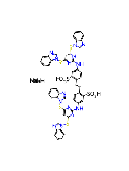 O=S(=O)(O)c1cc(Nc2nc(Sn3cnc4ccccc43)cc(Sn3cnc4ccccc43)n2)ccc1C=Cc1ccc(Nc2nc(Sn3cnc4ccccc43)cc(Sn3cnc4ccccc43)n2)cc1S(=O)(=O)O.[NaH].[NaH]